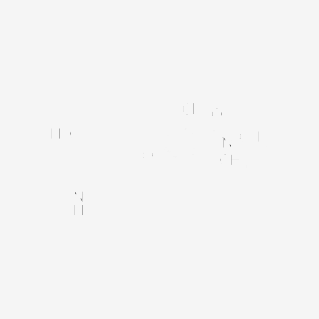 C[C@H](CCCOc1ccc(C(=O)N(C)C)c(Cl)c1)C1CCNCC1